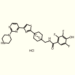 Cl.O=C(NCC12CCC(c3nc(-c4ccnc(N5CCNCC5)n4)cs3)(CC1)CC2)c1cc(F)c(O)c(F)c1F